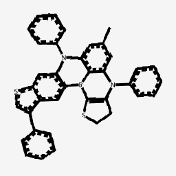 Cc1cc2c3c(c1)N(c1ccccc1)c1cc4scc(-c5ccccc5)c4cc1B3C1=C(CCS1)N2c1ccccc1